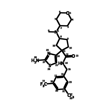 CN(C1CCOCC1)C1CCC(C(=O)NCc2cc(C(F)(F)F)cc(C(F)(F)F)c2)(c2csc(N)n2)C1